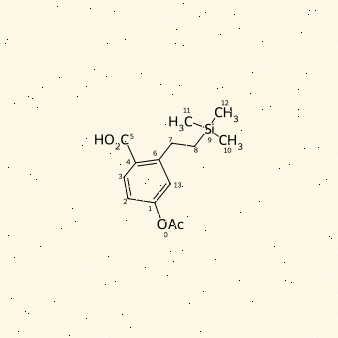 CC(=O)Oc1ccc(C(=O)O)c(CC[Si](C)(C)C)c1